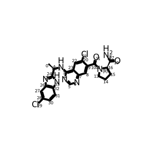 C[C@@H](Nc1ncnc2cc(C(=O)N3CCC[C@@H]3C(N)=O)c(Cl)cc12)c1nc2cc(Cl)ccc2[nH]1